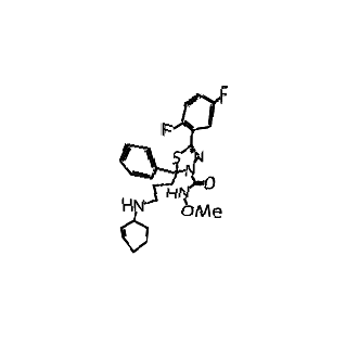 CONC(=O)N1N=C(c2cc(F)ccc2F)SC1(CCCNC1C=CCCC1)c1ccccc1